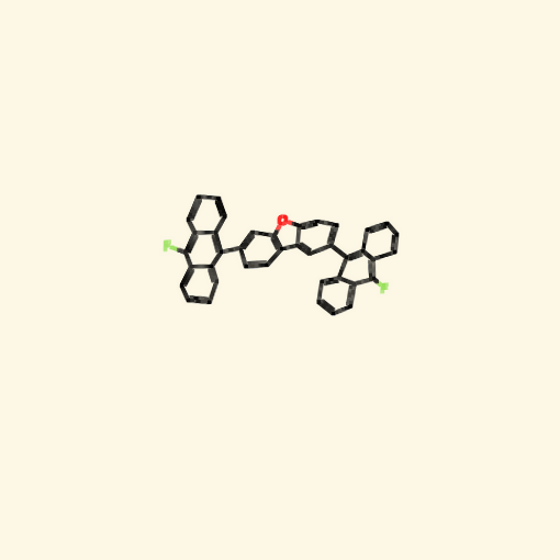 Fc1c2ccccc2c(-c2ccc3c(c2)oc2ccc(-c4c5ccccc5c(F)c5ccccc45)cc23)c2ccccc12